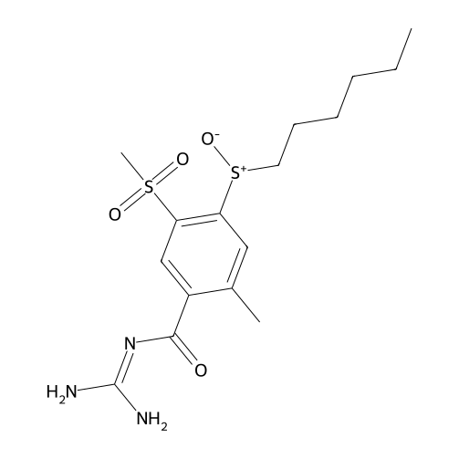 CCCCCC[S+]([O-])c1cc(C)c(C(=O)N=C(N)N)cc1S(C)(=O)=O